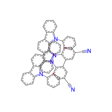 N#Cc1ccc(-n2c3ccccc3c3ccc4c5ccccc5n(-c5ccccc5)c4c32)c(-c2cc(C#N)ccc2-n2c3ccccc3c3ccc4c5ccccc5n(-c5ccccc5)c4c32)c1